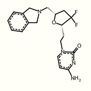 Nc1ccn(CC[C@@H]2O[C@H](CN3Cc4ccccc4C3)CC2(F)F)c(=O)n1